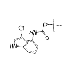 CC(C)(C)OC(=O)Nc1cccc2[nH]cc(Cl)c12